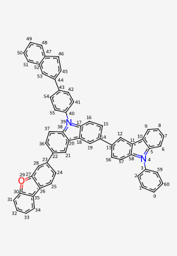 c1ccc(-n2c3ccccc3c3cc(-c4ccc5c(c4)c4cc(-c6ccc7c(c6)oc6ccccc67)ccc4n5-c4ccc(-c5ccc6ccccc6c5)cc4)ccc32)cc1